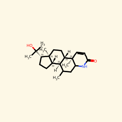 CC1CC2NC(=O)C=C[C@]2(C)[C@H]2CC[C@]3(C)[C@@H](C(C)(C)O)CC[C@H]3[C@H]12